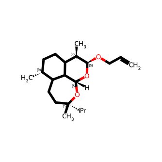 C=CCO[C@H]1O[C@@H]2O[C@](C)(C(C)C)CCC3C2C(CC[C@H]3C)[C@H]1C